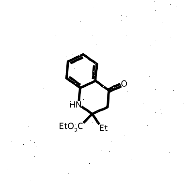 CCOC(=O)C1(CC)CC(=O)c2ccccc2N1